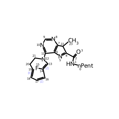 CCCCCNC(=O)C1=Nc2c(ncnc2N2/C=C(F)/C=C\C=C\CC2)C1C